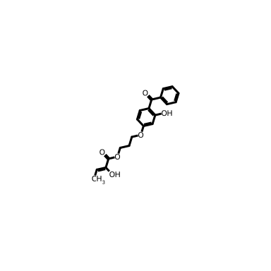 CC=C(O)C(=O)OCCCOc1ccc(C(=O)c2ccccc2)c(O)c1